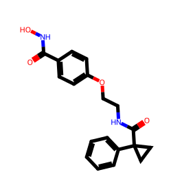 O=C(NO)c1ccc(OCCNC(=O)C2(c3ccccc3)CC2)cc1